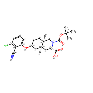 CC(C)(C)OC(=O)N1C[C@@H]2CC[C@H](Oc3cccc(Cl)c3C#N)C[C@@H]2C[C@H]1C(=O)O